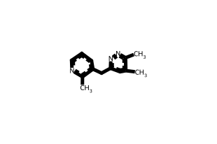 Cc1cc(Cc2cccnc2C)nnc1C